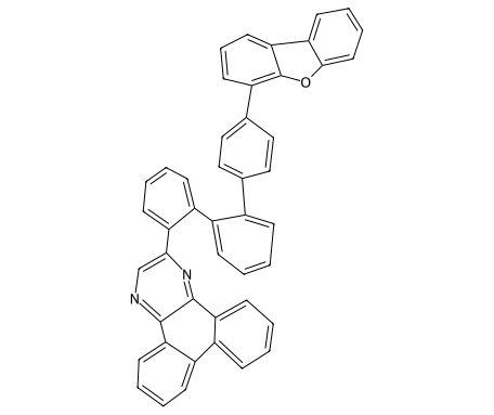 c1ccc(-c2ccccc2-c2cnc3c4ccccc4c4ccccc4c3n2)c(-c2ccc(-c3cccc4c3oc3ccccc34)cc2)c1